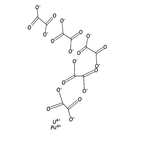 O=C([O-])C(=O)[O-].O=C([O-])C(=O)[O-].O=C([O-])C(=O)[O-].O=C([O-])C(=O)[O-].O=C([O-])C(=O)[O-].[Pu+4].[U+6]